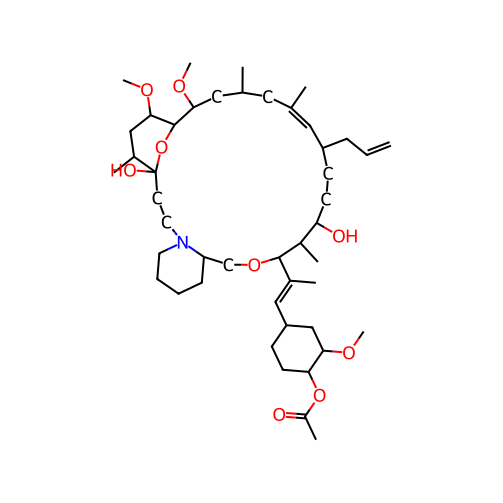 C=CCC1/C=C(/C)CC(C)CC(OC)C2OC(O)(CCN3CCCCC3COC(/C(C)=C/C3CCC(OC(C)=O)C(OC)C3)C(C)C(O)CC1)C(C)CC2OC